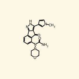 Cn1ccc(-c2[nH]nc3c2C(=O)c2c-3cccc2N(C(N)=O)N2CCOCC2)c1